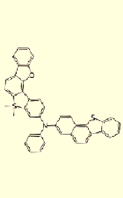 CS1(C)c2cc(N(c3ccccc3)c3ccc4c(ccc5c6ccccc6sc45)c3)ccc2-c2c1ccc1c2oc2ccccc21